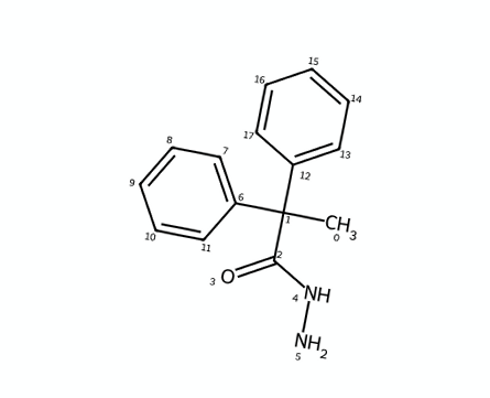 CC(C(=O)NN)(c1ccccc1)c1ccccc1